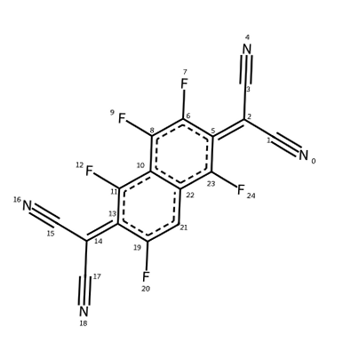 N#CC(C#N)=c1c(F)c(F)c2c(F)c(=C(C#N)C#N)c(F)cc2c1F